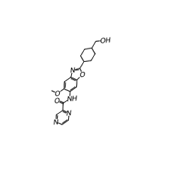 COc1cc2nc(C3CCC(CO)CC3)oc2cc1NC(=O)c1cnccn1